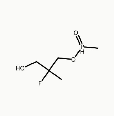 C[PH](=O)OCC(C)(F)CO